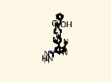 CN/C=C(\C=N)c1cc(-c2ccc(N3CCN(C(=O)C(O)c4ccccc4)CC3)nc2)c2c(C#N)cnn2c1